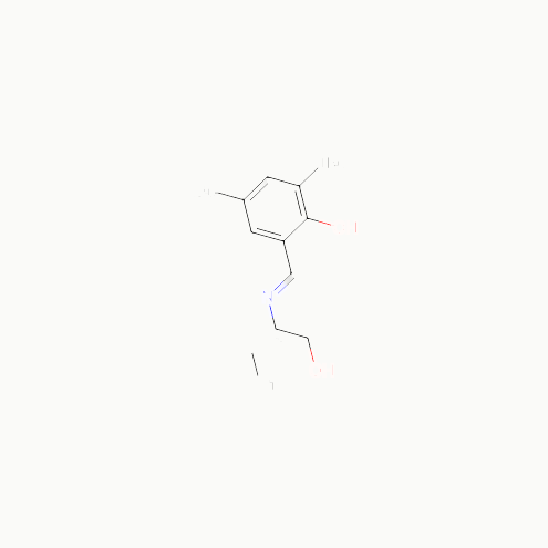 CC(C)C[C@@H](CO)N=Cc1cc(C(C)(C)C)cc(C(C)(C)C)c1O